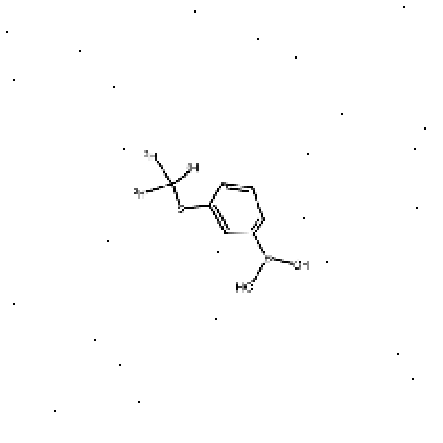 [2H]C([2H])([2H])Sc1cccc(B(O)O)c1